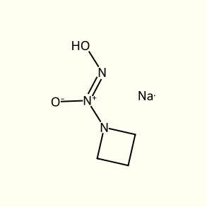 [Na].[O-][N+](=NO)N1CCC1